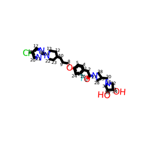 O=C(Cc1ccc(OCCCC2CCN(c3ncc(Cl)cn3)CC2)cc1F)N1CC(CN2C[C@H](O)[C@@H](O)C2)C1